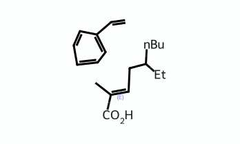 C=Cc1ccccc1.CCCCC(CC)C/C=C(\C)C(=O)O